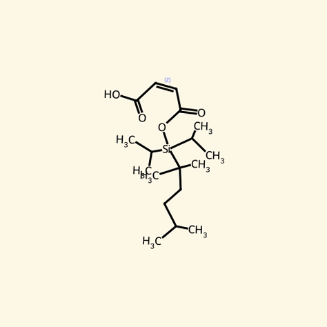 CC(C)CCC(C)(C)[Si](OC(=O)/C=C\C(=O)O)(C(C)C)C(C)C